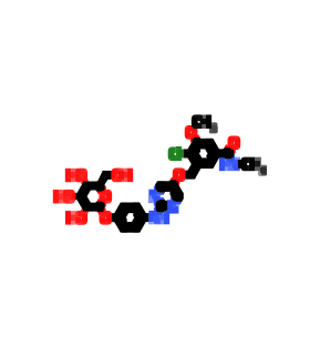 CNC(=O)c1cc(COc2cnc(Nc3ccc(O[C@@H]4O[C@H](CO)[C@@H](O)[C@H](O)[C@H]4O)cc3)nc2)c(Cl)c(OC)c1